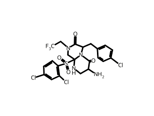 NC1CNC2(S(=O)(=O)c3ccc(Cl)cc3Cl)CN(CC(F)(F)F)C(=O)C(Cc3ccc(Cl)cc3)N2C1=O